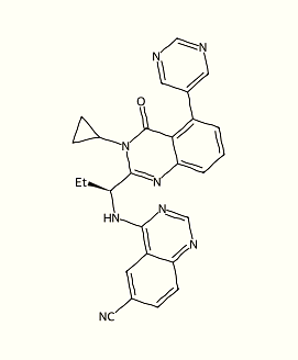 CC[C@H](Nc1ncnc2ccc(C#N)cc12)c1nc2cccc(-c3cncnc3)c2c(=O)n1C1CC1